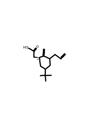 C=CCC1CC(C(C)(C)C)C[C@@H](CC(=O)O)C1=C